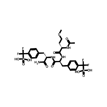 CSCC[C@H](NC(C)=O)C(=O)N[C@@H](Cc1ccc(C(F)(F)P(=O)(O)O)cc1)C(=O)N[C@@H](Cc1ccc(C(F)(F)P(=O)(O)O)cc1)C(N)=O